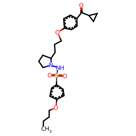 CCCCOc1ccc(S(=O)(=O)NN2CCCC2CCCOc2ccc(C(=O)C3CC3)cc2)cc1